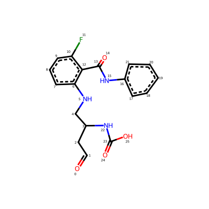 O=CCC(CNc1cccc(F)c1C(=O)Nc1ccccc1)NC(=O)O